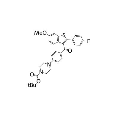 COc1ccc2c(C(=O)c3ccc(N4CCN(C(=O)OC(C)(C)C)CC4)cc3)c(-c3ccc(F)cc3)sc2c1